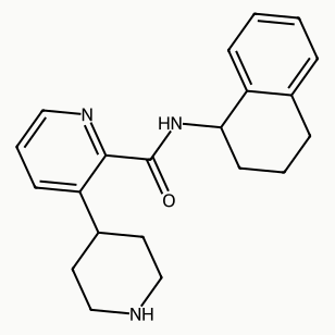 O=C(NC1CCCc2ccccc21)c1ncccc1C1CCNCC1